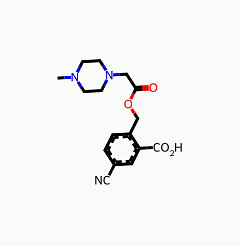 CN1CCN(CC(=O)OCc2ccc(C#N)cc2C(=O)O)CC1